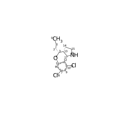 CCC[C@@H](Oc1cc(Cl)cc(Cl)c1)[C@@H]1CCNC1